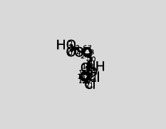 O=C(O)COc1cccc(CCNS(=O)(=O)c2cccc(Cl)c2Cl)c1